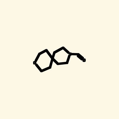 O=CN1CCC2(CCOCC2)CC1